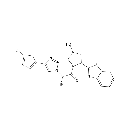 CC(C)C(C(=O)N1CC(O)CC1c1nc2ccccc2s1)n1cc(-c2ccc(Cl)s2)nn1